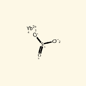 O=S([O-])[O-].[Yb+2]